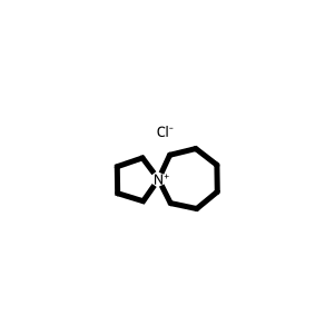 C1CCC[N+]2(CC1)CCCC2.[Cl-]